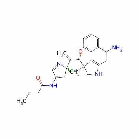 C=C(C(=O)C1(CCl)CNc2cc(N)c3ccccc3c21)C1(C)C=C(NC(=O)CCC)C=N1